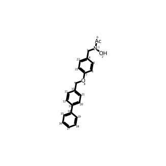 CC(=O)N(O)Cc1ccc(OCc2ccc(-c3ccccc3)cc2)cc1